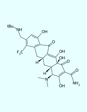 CN(C)[C@@H]1C(O)=C(C(N)=O)C(=O)[C@@]2(O)C(O)=C3C(=O)c4c(O)cc(CNC(C)(C)C)c(C(F)(F)F)c4C[C@H]3C[C@@H]12